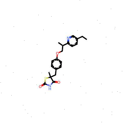 CCc1ccc(C(C)COc2ccc(CC3(C)SC(=O)NC3=O)cc2)nc1